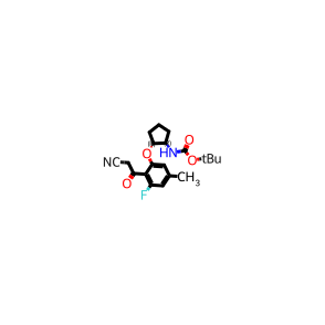 Cc1cc(F)c(C(=O)CC#N)c(O[C@@H]2CCC[C@H]2NC(=O)OC(C)(C)C)c1